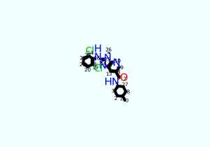 CC1CCC(NC(=O)c2cnc3c(c2)nc(Nc2c(Cl)cccc2Cl)n3C)CC1